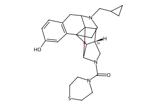 O=C(N1CCSCC1)N1C[C@H]2CC34CCC1C2C31CCN(CC2CC2)C4Cc2ccc(O)cc21